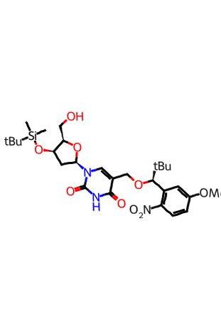 COc1ccc([N+](=O)[O-])c([C@@H](OCc2cn([C@H]3C[C@@H](O[Si](C)(C)C(C)(C)C)[C@@H](CO)O3)c(=O)[nH]c2=O)C(C)(C)C)c1